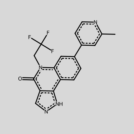 Cc1cc(-c2ccc3c4[nH]ncc4c(=O)n(CC(F)(F)F)c3c2)ccn1